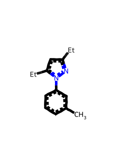 CCc1cc(CC)n(-c2cc[c]c(C)c2)n1